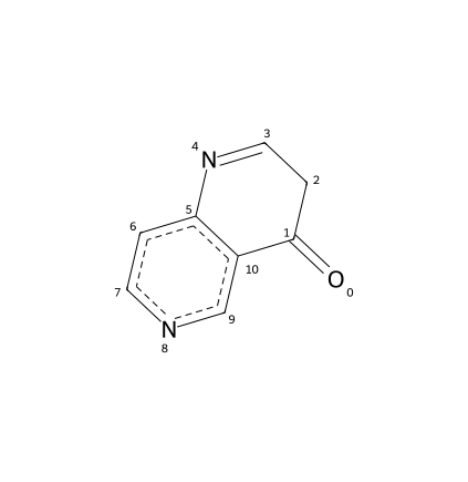 O=C1CC=Nc2ccncc21